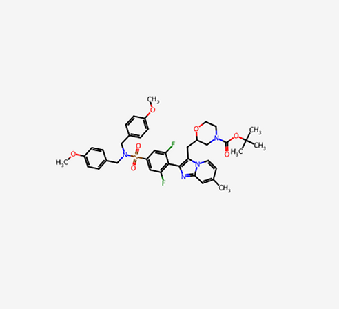 COc1ccc(CN(Cc2ccc(OC)cc2)S(=O)(=O)c2cc(F)c(-c3nc4cc(C)ccn4c3CC3CN(C(=O)OC(C)(C)C)CCO3)c(F)c2)cc1